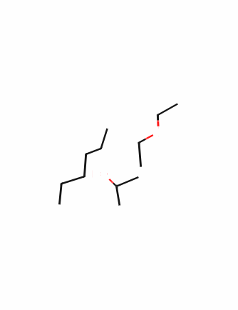 CC(C)O.CCCCCC.CCOCC